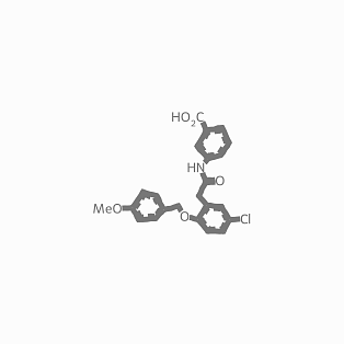 COc1ccc(COc2ccc(Cl)cc2CC(=O)Nc2cccc(C(=O)O)c2)cc1